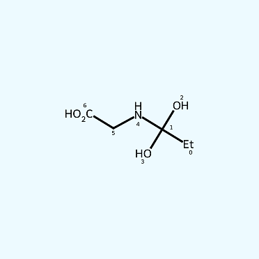 CCC(O)(O)NCC(=O)O